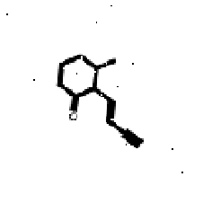 C#CC=CC1C(=O)CCCC1C